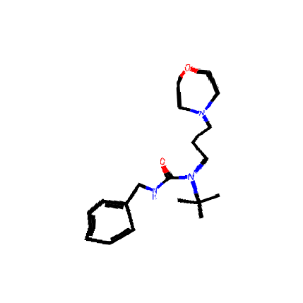 CC(C)(C)N(CCCN1CCOCC1)C(=O)NCc1ccccc1